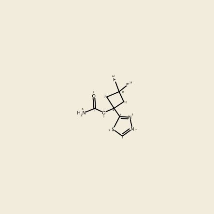 NC(=O)OC1(c2nncs2)CC(F)(F)C1